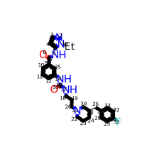 CCn1nccc1NC(=O)c1cccc(NC(=O)NCCCN2CCC[C@@H](Cc3ccc(F)cc3)C2)c1